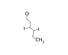 CCC(I)C(I)CC[O]